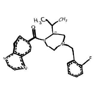 CC(C)[C@H]1CN(Cc2ccccc2F)CCN1C(=O)c1ccc2nccnc2c1